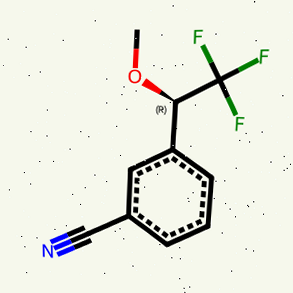 CO[C@H](c1cccc(C#N)c1)C(F)(F)F